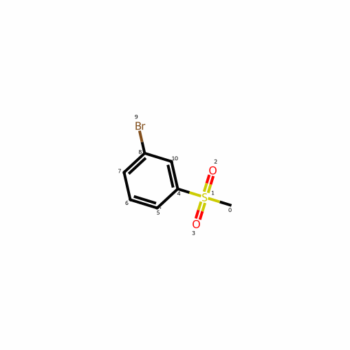 CS(=O)(=O)c1[c]ccc(Br)c1